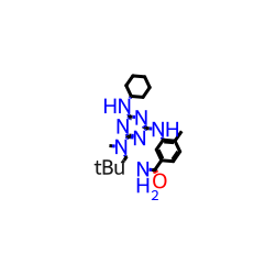 Cc1ccc(C(N)=O)cc1Nc1nc(NC2CCCCC2)nc(N(C)CC(C)(C)C)n1